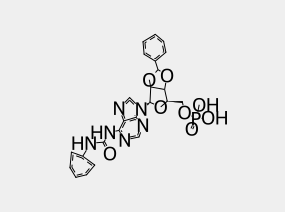 O=C(Nc1ccccc1)Nc1ncnc2c1ncn2[C@@H]1O[C@H](COP(=O)(O)O)C2OC(c3ccccc3)OC21